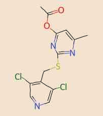 CC(=O)Oc1cc(C)nc(SCc2c(Cl)cncc2Cl)n1